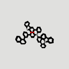 c1cc(-c2ccc(N(c3ccc(-c4ccccc4-n4c5ccccc5c5ccccc54)cc3)c3ccccc3-c3ccc4sc5ccccc5c4c3)cc2)cc(-c2cccc3ccccc23)c1